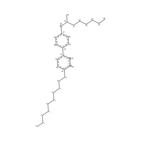 CCCCCCCCCCc1ccc(-c2ccc(OC(C)CCCCCC)cc2)nn1